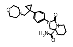 NC(=O)[C@]12[CH]CCCN1C(=O)N(c1ccc(C3(CN4CCOCC4)CC3)cc1)C2